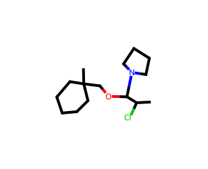 CC(Cl)C(OCC1(C)CCCCC1)N1CCCC1